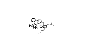 CCCCn1cc(CCC(C)C)n(Cc2ccc(-c3ccccc3-c3nnn[nH]3)nc2)c1=O